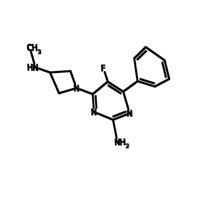 CNC1CN(c2nc(N)nc(-c3ccccc3)c2F)C1